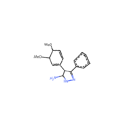 COC1C=CC(C2C(c3ccccc3)=NNC2N)=CC1OC